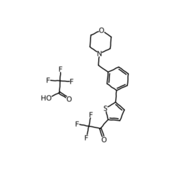 O=C(O)C(F)(F)F.O=C(c1ccc(-c2cccc(CN3CCOCC3)c2)s1)C(F)(F)F